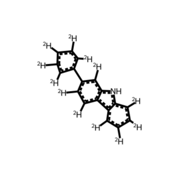 [2H]c1c([2H])c([2H])c(-c2c([2H])c([2H])c3c([nH]c4c([2H])c([2H])c([2H])c([2H])c43)c2[2H])c([2H])c1[2H]